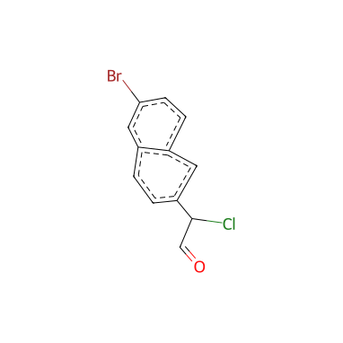 O=CC(Cl)c1ccc2cc(Br)ccc2c1